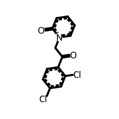 O=C(Cn1ccccc1=O)c1ccc(Cl)cc1Cl